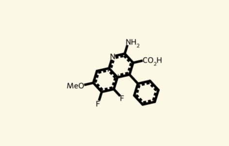 COc1cc2nc(N)c(C(=O)O)c(-c3ccccc3)c2c(F)c1F